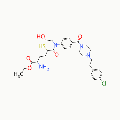 CCOC(=O)C(N)CCC(S)C(=O)N(CCO)c1ccc(C(=O)N2CCN(CCc3ccc(Cl)cc3)CC2)cc1